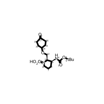 CC(C)(C)OC(=O)N[C@H]1CCCN(C(=O)O)[C@H]1COC1CCC(=O)CC1